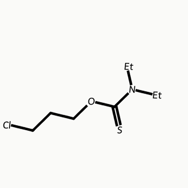 CCN(CC)C(=S)OCCCCl